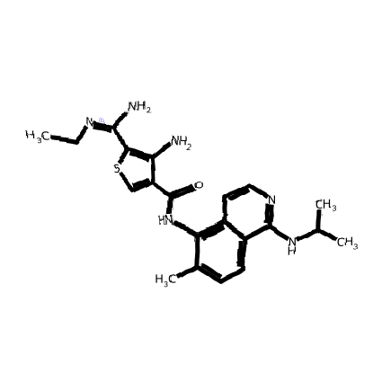 CC/N=C(/N)c1scc(C(=O)Nc2c(C)ccc3c(NC(C)C)nccc23)c1N